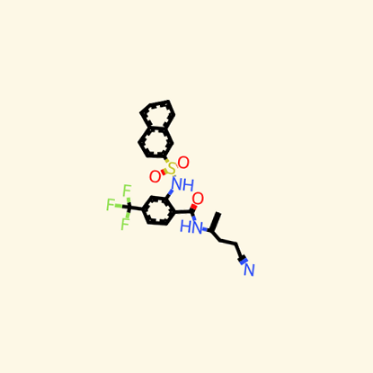 C=C(CCC#N)NC(=O)c1ccc(C(F)(F)F)cc1NS(=O)(=O)c1ccc2ccccc2c1